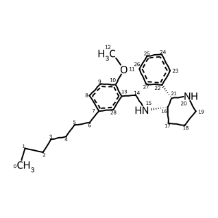 CCCCCCCc1ccc(OC)c(CN[C@H]2CCCN[C@H]2c2ccccc2)c1